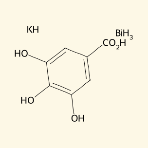 O=C(O)c1cc(O)c(O)c(O)c1.[BiH3].[KH]